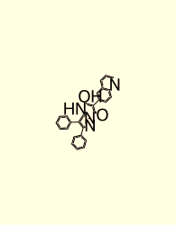 O=c1c(-c2ccc3ncccc3c2)c(O)[nH]c2c(-c3ccccc3)c(-c3ccccc3)nn12